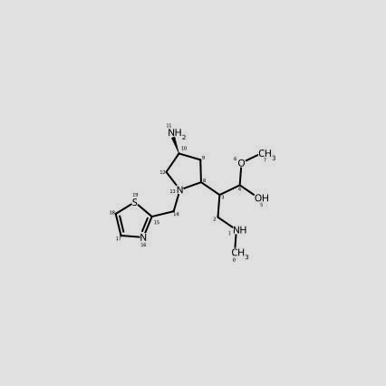 CNCC(C(O)OC)C1C[C@H](N)CN1Cc1nccs1